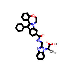 CC(C(=O)O)n1c(CNC(=O)c2ccc3c(C4CCCCC4)c4n(c3c2)CCOc2ccccc2-4)nc2ccccc21